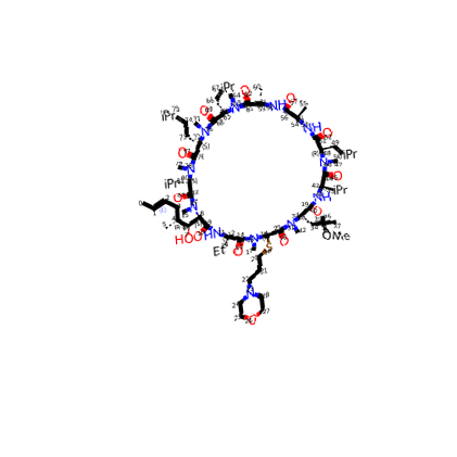 C/C=C/C[C@@H](C)[C@@H](O)[C@H]1C(=O)N[C@@H](CC)C(=O)N(C)[C@H](SCCCN2CCOCC2)C(=O)N(C)[C@@H](CC(C)(C)OC)C(=O)N[C@H](C(C)C)C(=O)N(C)[C@H](CC(C)C)C(=O)N[C@H](C)C(=O)N[C@@H](C)C(=O)N(C)[C@@H](CC(C)C)C(=O)N(C)[C@@H](CCC(C)C)C(=O)N(C)[C@@H](C(C)C)C(=O)N1C